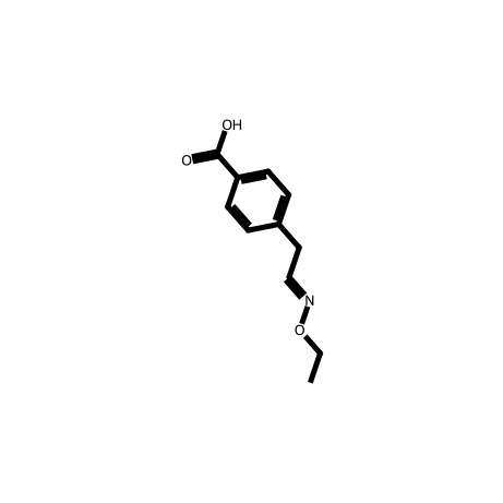 CCON=CCc1ccc(C(=O)O)cc1